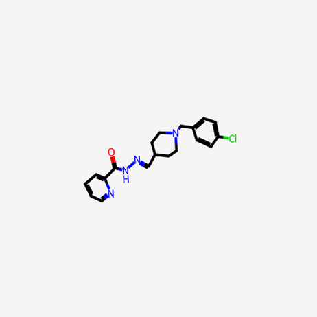 O=C(NN=CC1CCN(Cc2ccc(Cl)cc2)CC1)c1ccccn1